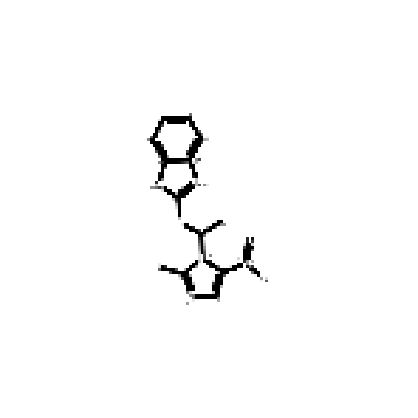 Cc1ncc([N+](=O)[O-])n1C(C)Sc1nc2ccccc2o1